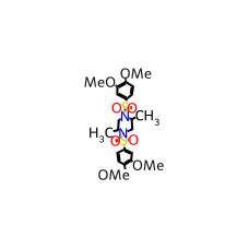 COc1ccc(S(=O)(=O)N2CC(C)N(S(=O)(=O)c3ccc(OC)c(OC)c3)CC2C)cc1OC